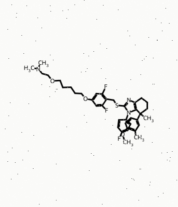 COc1ccc(C2(C)CCCc3nc(SCc4c(F)cc(OCCCCCOCCN(C)C)cc4F)n(-c4ccc(F)cc4)c32)cc1C